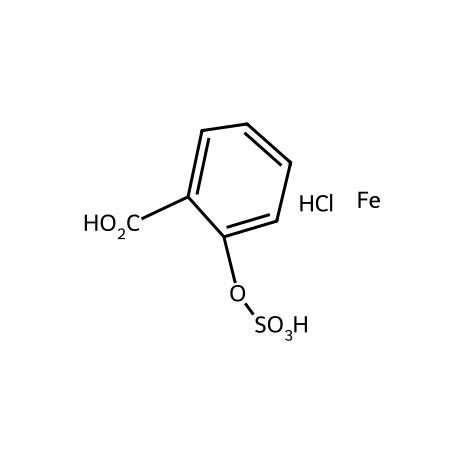 Cl.O=C(O)c1ccccc1OS(=O)(=O)O.[Fe]